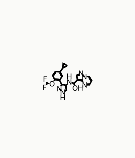 OC(Nc1c[nH]nc1-c1cc(C2CC2)ccc1OC(F)F)c1cnn2cccnc12